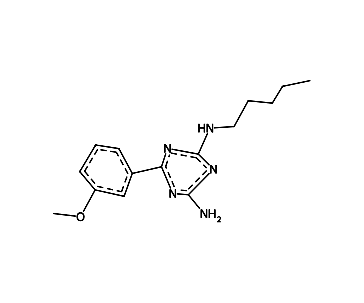 CCCCCNc1nc(N)nc(-c2cccc(OC)c2)n1